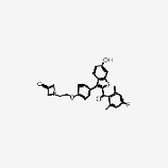 Cc1cc(F)cc(C)c1C(=O)c1sc2cc(O)ccc2c1-c1ccc(OCCN2CC(=O)C2)cc1